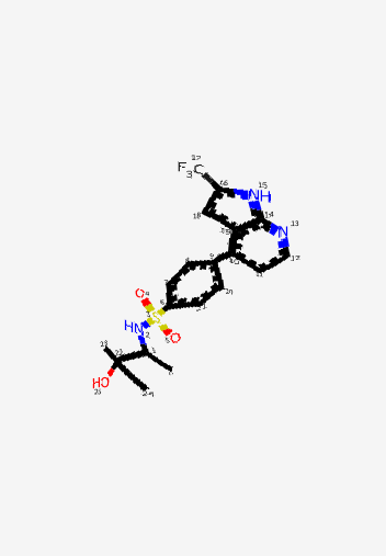 CC(NS(=O)(=O)c1ccc(-c2ccnc3[nH]c(C(F)(F)F)cc23)cc1)C(C)(C)O